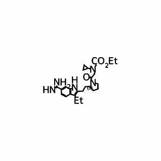 CCOC(=O)CN(CC(=O)N1CCC[C@H]1CCc1[nH]c2cc(C(=N)N)ccc2c1CC)C1CC1